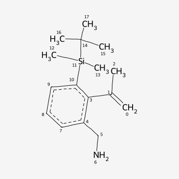 C=C(C)c1c(CN)cccc1[Si](C)(C)C(C)(C)C